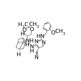 COc1ccccc1CNc1ncc(C#N)c(NC[C@@]23CC4C[C@H](C2)[C@@H](NC2COC(C)(C)OC2)[C@@H](C4)C3)n1